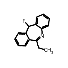 CCC1=Nc2ccccc2C(F)c2ccccc21